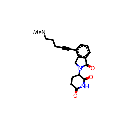 CNCCCC#Cc1cccc2c1CN(C1CCC(=O)NC1=O)C2=O